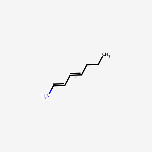 CCC/C=C/C=CN